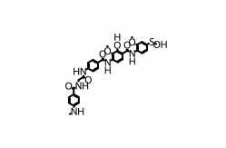 CNc1ccc(C(=O)NCC(=O)Nc2ccc(C(=O)Nc3ccc(C(=O)Nc4ccc(SO)cc4OC)c(O)c3OC)cc2)cc1